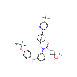 CC(C)(C#N)Oc1ccc(Nc2cccc(N(CC34CCC(c5ccc(C(C)(F)F)cn5)(CC3)CC4)C(=O)C3CC(O)(C(F)(F)F)C3)c2)cc1